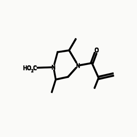 C=C(C)C(=O)N1CC(C)N(C(=O)O)CC1C